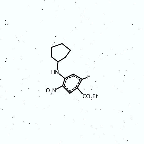 CCOC(=O)c1cc([N+](=O)[O-])c(NC2CCCCC2)cc1F